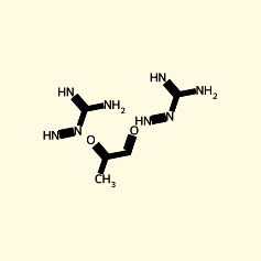 CC(=O)C=O.N=NC(=N)N.N=NC(=N)N